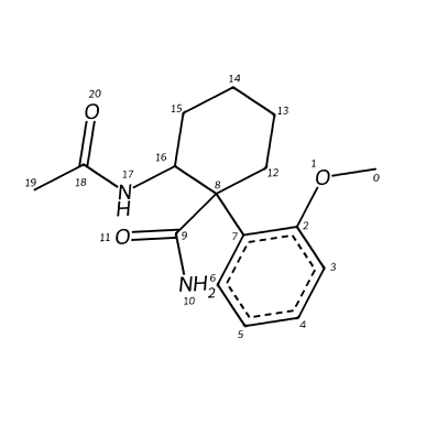 COc1ccccc1C1(C(N)=O)CCCCC1NC(C)=O